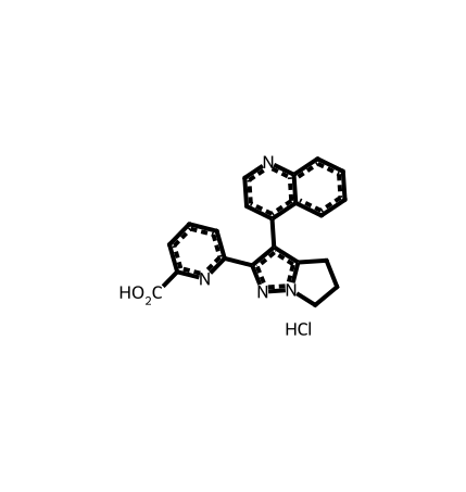 Cl.O=C(O)c1cccc(-c2nn3c(c2-c2ccnc4ccccc24)CCC3)n1